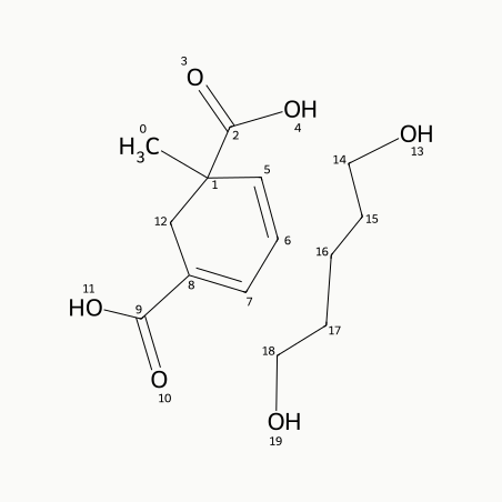 CC1(C(=O)O)C=CC=C(C(=O)O)C1.OCCCCCO